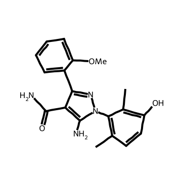 COc1ccccc1-c1nn(-c2c(C)ccc(O)c2C)c(N)c1C(N)=O